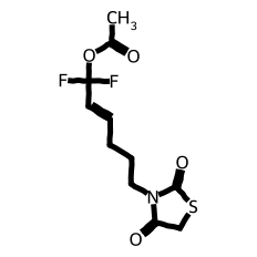 CC(=O)OC(F)(F)/C=C/CCCN1C(=O)CSC1=O